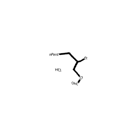 CCCCCCC(CC)COC=O.Cl